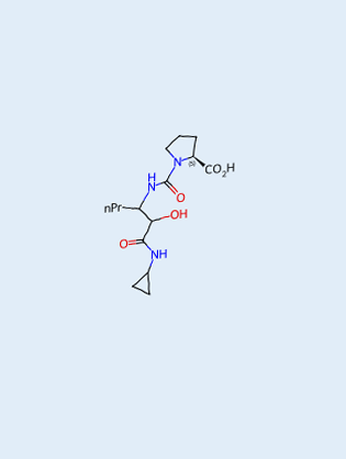 CCCC(NC(=O)N1CCC[C@H]1C(=O)O)C(O)C(=O)NC1CC1